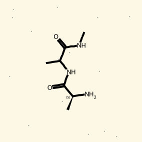 CNC(=O)C(C)NC(=O)[C@H](C)N